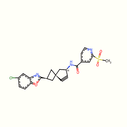 CS(=O)(=O)c1cc(C(=O)N[C@H]2C#C[C@]3(C2)C[C@H](c2nc4cc(Cl)ccc4o2)C3)ccn1